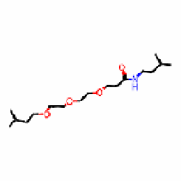 CC(C)CCNC(=O)CCOCCOCCOCCC(C)C